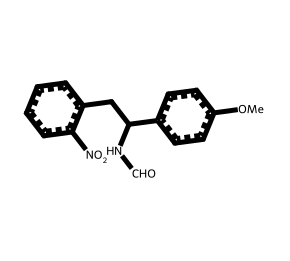 COc1ccc(C(Cc2ccccc2[N+](=O)[O-])NC=O)cc1